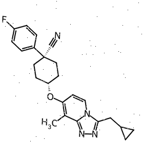 Cc1c(O[C@H]2CC[C@](C#N)(c3ccc(F)cc3)CC2)ccn2c(CC3CC3)nnc12